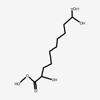 CCCCCCCCC(O)CCCCCCCC(O)C(=O)OO